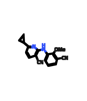 COc1c(C#N)cccc1Nc1nc(C2CC2)ccc1C#N